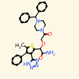 Cc1sc(C(OCC(=O)N2CCN(C(c3ccccc3)c3ccccc3)CC2)C(N)=O)c(-c2nnn[nH]2)c1-c1ccccc1